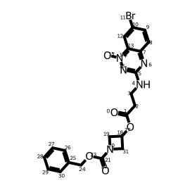 O=C(CCNc1nc2ccc(Br)cc2[n+]([O-])n1)OC1CN(C(=O)OCc2ccccc2)C1